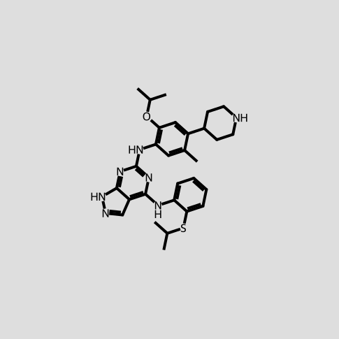 Cc1cc(Nc2nc(Nc3ccccc3SC(C)C)c3cn[nH]c3n2)c(OC(C)C)cc1C1CCNCC1